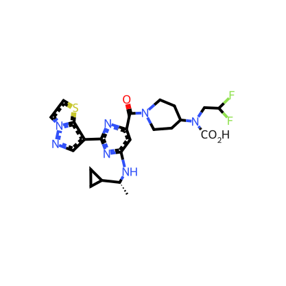 C[C@@H](Nc1cc(C(=O)N2CCC(N(CC(F)F)C(=O)O)CC2)nc(-c2cnn3ccsc23)n1)C1CC1